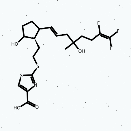 CC(O)(C/C=C/C1CCC(O)[C@@H]1CCSc1nc(C(=O)O)cs1)CCC(F)=C(F)F